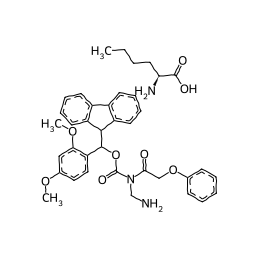 CCCC[C@H](N)C(=O)O.COc1ccc(C(OC(=O)N(CN)C(=O)COc2ccccc2)C2c3ccccc3-c3ccccc32)c(OC)c1